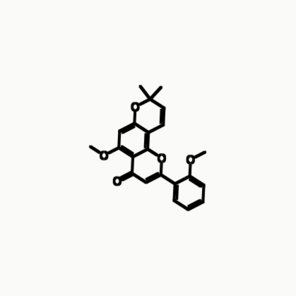 COc1ccccc1-c1cc(=O)c2c(OC)cc3c(c2o1)C=CC(C)(C)O3